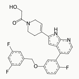 O=C(CO)N1CC=C(c2cc3c(-c4cc(OCc5cc(F)cc(F)c5)ccc4F)ccnc3[nH]2)CC1